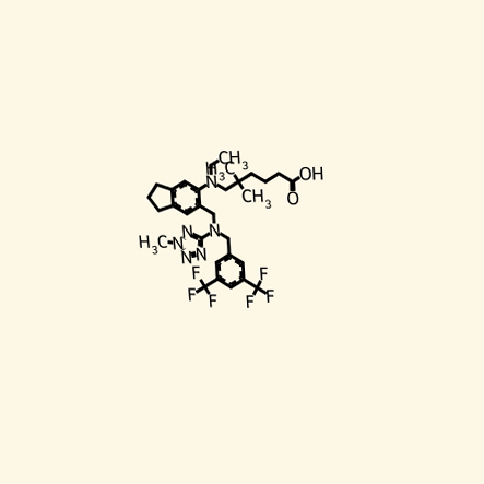 CCN(CC(C)(C)CCCC(=O)O)c1cc2c(cc1CN(Cc1cc(C(F)(F)F)cc(C(F)(F)F)c1)c1nnn(C)n1)CCC2